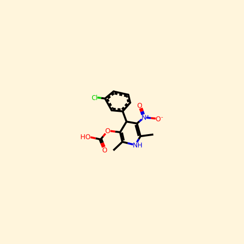 CC1=C(OC(=O)O)C(c2cccc(Cl)c2)C([N+](=O)[O-])=C(C)N1